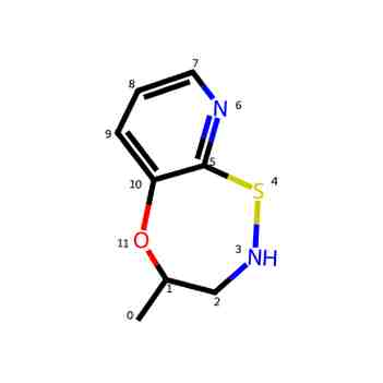 CC1CNSc2ncccc2O1